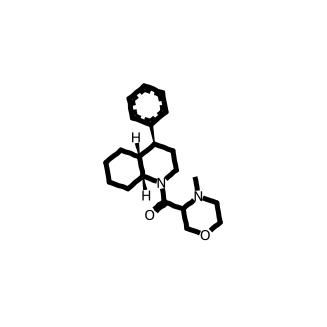 CN1CCOCC1C(=O)N1CC[C@H](c2ccccc2)[C@H]2CCCC[C@H]21